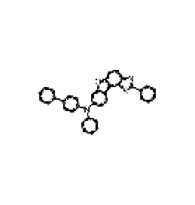 c1ccc(-c2ccc(N(c3ccccc3)c3ccc4c(c3)oc3ccc5nc(-c6ccccc6)sc5c34)cc2)cc1